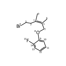 CC(CCBr)=C(C)COc1ccccc1F